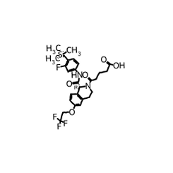 C[Si](C)(C)c1ccc(NC(=O)[C@H]2c3ccc(OCC(F)(F)F)cc3CCN2C(=O)CCCC(=O)O)cc1F